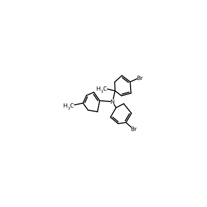 CC1=CC=C(N(C2C=CC(Br)=CC2)C2(C)C=CC(Br)=CC2)CC1